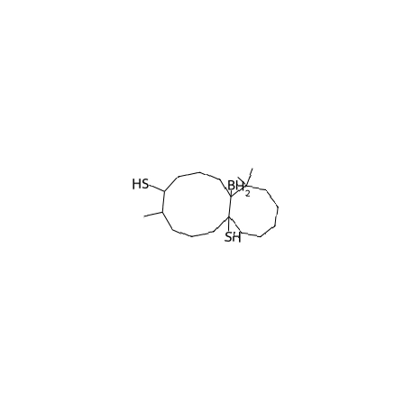 BC12CCCC(S)C(C)CCCC1(S)CCCCCC2(C)C